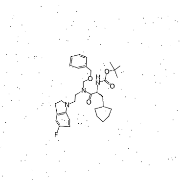 CC(C)(C)OC(=O)N[C@@H](CC1CCCCC1)C(=O)N(CCN1CCc2cc(F)ccc21)COCc1ccccc1